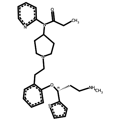 CCC(=O)N(c1ccccn1)C1CCN(CCc2ccccc2O[C@H](CCNC)c2cccs2)CC1